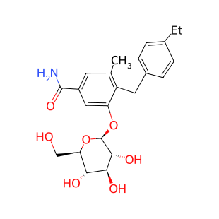 CCc1ccc(Cc2c(C)cc(C(N)=O)cc2O[C@@H]2O[C@H](CO)[C@@H](O)[C@H](O)[C@H]2O)cc1